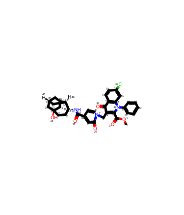 COC(=O)c1c(Cn2ccc(C(=O)N[C@@H]3CC[C@@]4(O)CC5C[C@H](C[C@@H]53)C4)cc2=O)c(=O)c2ccc(Cl)cc2n1-c1ccccc1